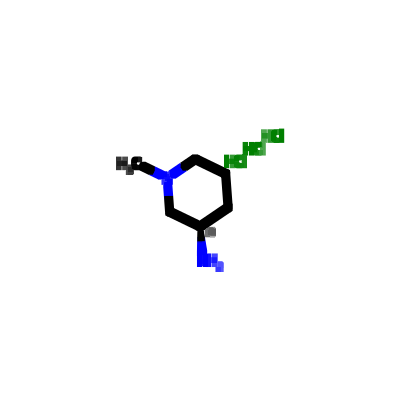 CN1CCC[C@@H](N)C1.Cl.Cl.Cl